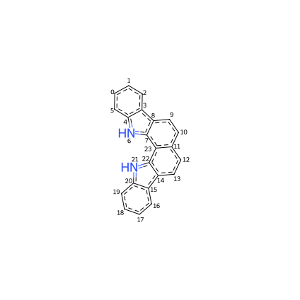 c1ccc2c(c1)[nH]c1c2ccc2ccc3c4ccccc4[nH]c3c21